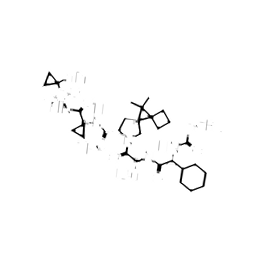 CCCC1(S(=O)(=O)NC(=O)[C@@]2(NC(=O)[C@@H]3C[C@@]4(CN3C(=O)[C@@H](NC(=O)[C@@H](NC(=O)OC(C)(C)C)C3CCCCC3)C(C)(C)C)C(C)(C)C43CCC3)C[C@H]2CC)CC1